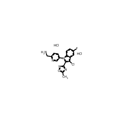 Cc1nc(-c2c(Cl)c3cc(F)ccc3n2-c2ccc(CN)nc2)no1.Cl.Cl